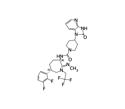 CN=C1[C@H](NC(=O)N2CCC(n3c(=O)[nH]c4ncccc43)CC2)CC[C@@H](c2cccc(F)c2F)CN1CC(F)(F)F